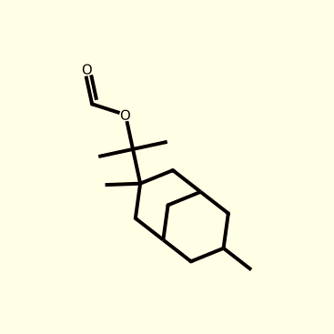 CC1CC2CC(C1)CC(C)(C(C)(C)OC=O)C2